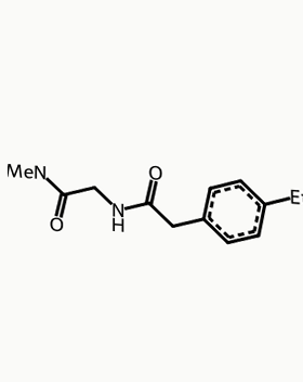 CCc1ccc(CC(=O)NCC(=O)NC)cc1